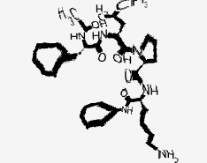 CC(C)C[C@H](NC(=O)[C@H](Cc1ccccc1)NC(C)O)C(O)N1CCC[C@H]1C(=O)N[C@@H](CCCCN)C(=O)Nc1ccccc1